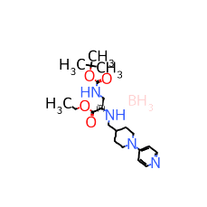 B.CCOC(=O)[C@@H](CNC(=O)OC(C)(C)C)NCC1CCN(c2ccncc2)CC1